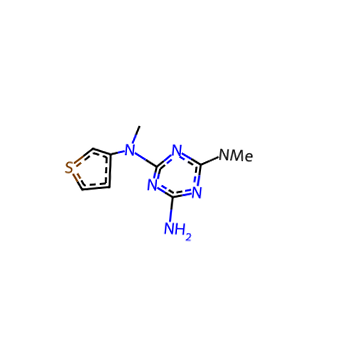 CNc1nc(N)nc(N(C)c2ccsc2)n1